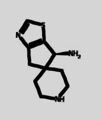 N[C@@H]1c2scnc2CC12CCNCC2